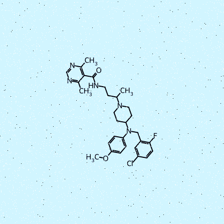 COc1ccc(N(Cc2cc(Cl)ccc2F)C2CCN(C(C)CCNC(=O)c3c(C)ncnc3C)CC2)cc1